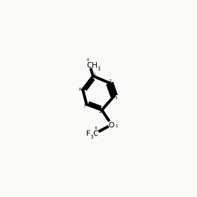 Cc1c#cc(OC(F)(F)F)cc1